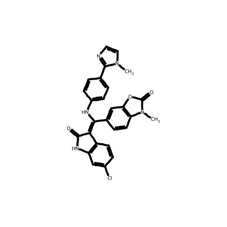 Cn1ccnc1-c1ccc(N/C(=C2\C(=O)Nc3cc(Cl)ccc32)c2ccc3c(c2)oc(=O)n3C)cc1